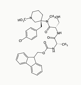 C[C@H](NC(=O)OCC1c2ccccc2-c2ccccc21)C(=O)N[C@@H](CO)C(=O)N(C)[C@@]1(Cc2ccc(Cl)cc2)CCCN(C(=O)O)C1